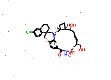 O=C1NS(=O)(=O)C[C@H](CO)/C=C\C[C@H](O)[C@@H]2CC[C@H]2CN2C[C@@]3(CCCc4cc(Cl)ccc43)COc3ccc1cc32